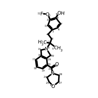 CC(C)(CCc1ccc(O)c(OF)c1)N1Cc2cccc(C(=O)N3CCOCC3)c2C1